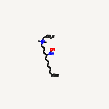 CCCCCCCCCCCCCCCC(CCC[N+](C)(C)CC(=O)O)NO